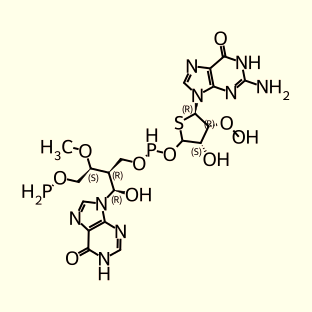 CO[C@H](COP)[C@@H](COPOC1S[C@@H](n2cnc3c(=O)[nH]c(N)nc32)[C@H](OO)[C@@H]1O)[C@@H](O)n1cnc2c(=O)[nH]cnc21